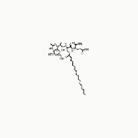 CCCCCCCCCCCCCCCCCC(=O)SC[C@H](NCC(C)O[C@H]1[C@H](O)[C@@H](CO)O[C@H](O)[C@@H]1NC(C)=O)C(=O)N[C@H](CCC(=O)O)C(N)=O